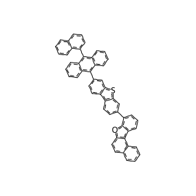 c1ccc2c(-c3c4ccccc4c(-c4ccc5c(c4)sc4cc(-c6cccc7c6oc6ccc8ccccc8c67)ccc45)c4ccccc34)cccc2c1